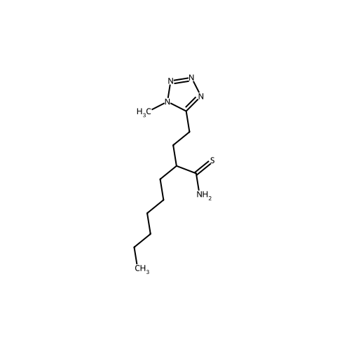 CCCCCCC(CCc1nnnn1C)C(N)=S